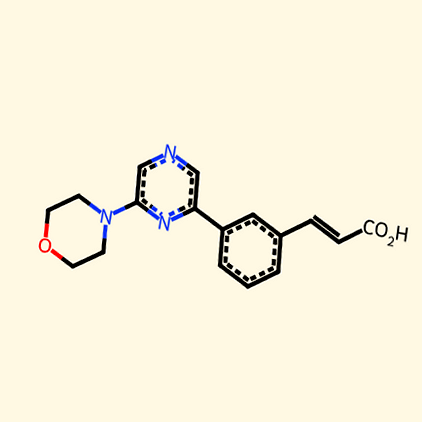 O=C(O)C=Cc1cccc(-c2cncc(N3CCOCC3)n2)c1